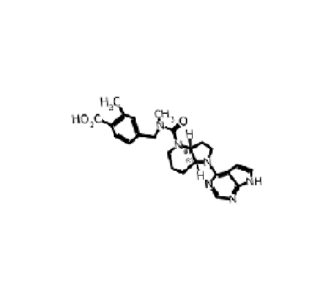 Cc1cc(CN(C)C(=O)N2CCC[C@@H]3[C@H]2CCN3c2ncnc3[nH]ccc23)ccc1C(=O)O